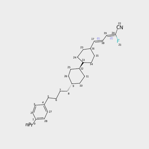 CCCc1ccc(CCCC[C@H]2CC[C@H](C3CCC(/C=C/C=C(\F)C#N)CC3)CC2)cc1